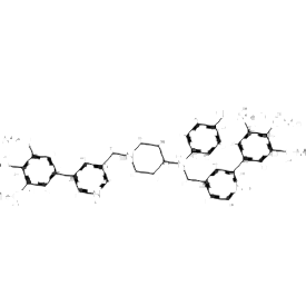 COc1cc(-c2cncc(CN3CCC(N(Cc4ccnc(-c5cc(OC)c(OC)c(OC)c5)c4)c4ccc(F)cc4)CC3)c2)cc(OC)c1OC